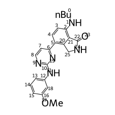 CCCCNc1ccc(-c2ccnc(Nc3cccc(OC)c3)n2)c2c1C(=O)NC2